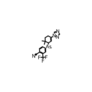 C[As](c1ccc(C#N)c(C(F)(F)F)c1)C1C=C(n2cncn2)CCC1(C)C